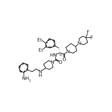 CCc1ccc(C[C@@H](NC(=O)N2CCC(NCCc3ccccc3N)CC2)C(=O)N2CCC(N3CCC(F)(F)CC3)CC2)cc1CC